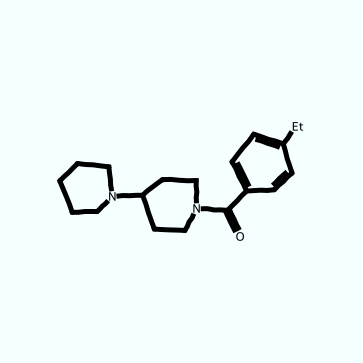 CCc1ccc(C(=O)N2CCC(N3CCCCC3)CC2)cc1